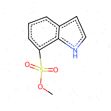 COS(=O)(=O)c1cccc2cc[nH]c12